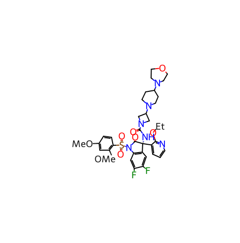 CCOc1ncccc1[C@]1(NC(=O)N2CC(N3CCC(N4CCOCC4)CC3)C2)C(=O)N(S(=O)(=O)c2ccc(OC)cc2OC)c2cc(F)c(F)cc21